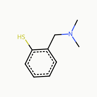 CN(C)Cc1ccccc1S